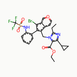 CCOC(=O)c1c(C2CC2)nc(CC)n1Cc1c2ccocc-2c(Br)c1-c1ccccc1NS(=O)(=O)C(F)(F)F